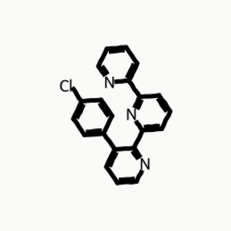 Clc1ccc(-c2cccnc2-c2cccc(-c3ccccn3)n2)cc1